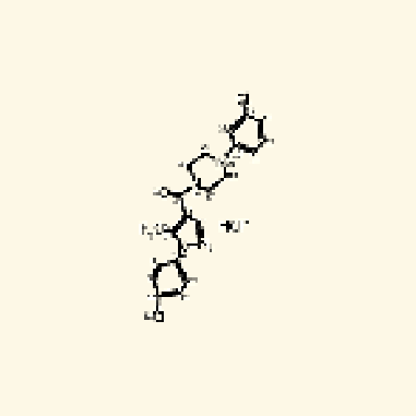 Cl.O=C(c1cnn(-c2ccc(Cl)cc2)c1C(F)(F)F)N1CCN(c2cccc(Cl)c2)CC1